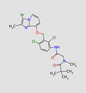 Cc1nc2c(OCc3c(Cl)ccc(NC(=O)CN(C)C(=O)C(C)(C)C)c3Cl)cccn2c1Br